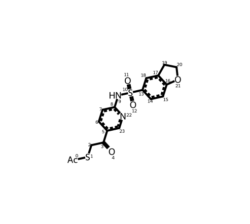 CC(=O)SCC(=O)c1ccc(NS(=O)(=O)c2ccc3c(c2)CCO3)nc1